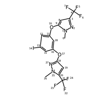 Cn1nc(C(F)(F)F)cc1Oc1cc(I)cc(Oc2cc(C(F)(F)F)n(C)n2)c1